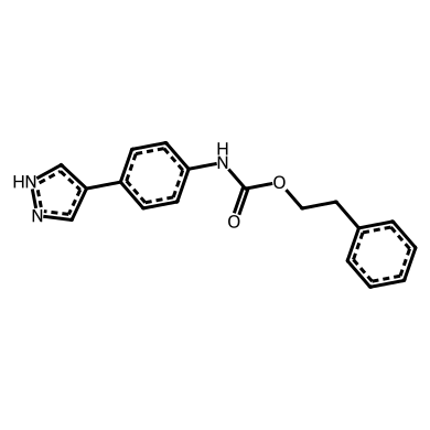 O=C(Nc1ccc(-c2cn[nH]c2)cc1)OCCc1ccccc1